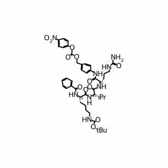 CC(C)[C@H](NC(=O)[C@H](CCCCNC(=O)OC(C)(C)C)NC(=O)c1ccccc1)C(=O)N[C@@H](CCCNC(N)=O)C(=O)Nc1ccc(COC(=O)Oc2ccc([N+](=O)[O-])cc2)cc1